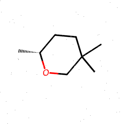 C[C@@H]1CCC(C)(C)CO1